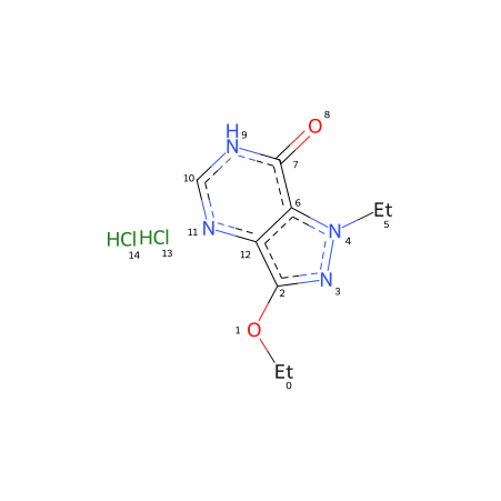 CCOc1nn(CC)c2c(=O)[nH]cnc12.Cl.Cl